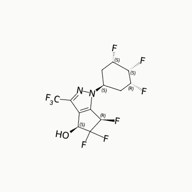 O[C@H]1c2c(C(F)(F)F)nn([C@@H]3C[C@@H](F)[C@@H](F)[C@@H](F)C3)c2[C@@H](F)C1(F)F